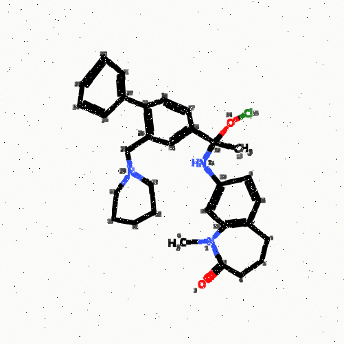 CN1C(=O)CCCc2ccc(NC(C)(OCl)c3ccc(-c4ccccc4)c(CN4CCCCC4)c3)cc21